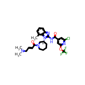 Cc1cccc2nc(NC(=O)c3cc(Cl)nc(OC(F)(F)F)c3)n([C@@H]3CCCCN(C(=O)C=CCN(C)C)C3)c12